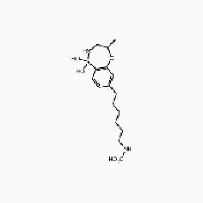 C[C@@H]1CNS(O)(O)c2ccc(CCCCCCNC(=O)O)cc2O1